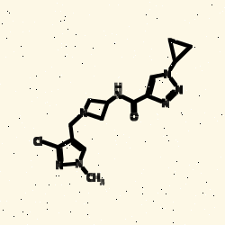 Cn1cc(CN2CC(NC(=O)c3cn(C4CC4)nn3)C2)c(Cl)n1